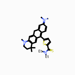 CCN(CC)C(=S)c1ccc(C2=C3C=CC(=[N+](C)C)C=C3Cc3cc4c(cc32)C(C)(C)CCN4C)s1